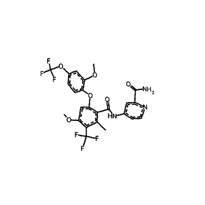 COc1cc(OC(F)(F)F)ccc1Oc1cc(OC)c(C(F)(F)F)c(C)c1C(=O)Nc1ccnc(C(N)=O)c1